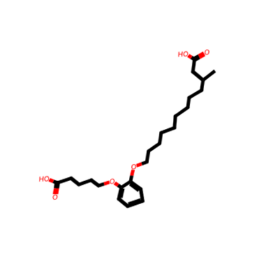 CC(CCCCCCCCCOc1ccccc1OCCCCC(=O)O)CC(=O)O